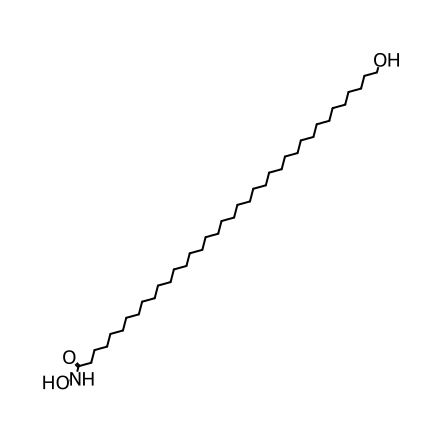 O=C(CCCCCCCCCCCCCCCCCCCCCCCCCCCCCCCCCCCCCO)NO